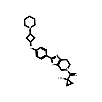 O=C(N1CCc2nc(-c3ccc(OC4CC(N5CCCCC5)C4)cc3)sc2C1)C1(O)CC1